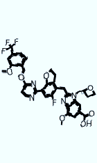 COc1cc(C(F)(F)F)ccc1COc1ccnc(-c2cc(F)c(Cc3nc4c(OC)cc(C(=O)O)cc4n3C[C@@H]3CCO3)c3c2OCC3)n1